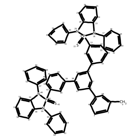 Cc1cccc(-c2cc(-c3cccc(P4(=S)N(c5ccccc5)c5ccccc5N4c4ccccc4)c3)cc(-c3cccc(P4(=S)N(c5ccccc5)c5ccccc5N4c4ccccc4)c3)c2)c1